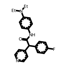 CCN(CC)c1ccc(NC(=O)C(c2ccncc2)c2ccc(F)cc2)cc1